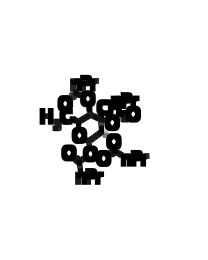 CCCC(=O)OC1O[C@@H](C)[C@@H](OC(=O)CCC)C(C)(OC(=O)CCC)[C@@H]1OC(=O)CCC